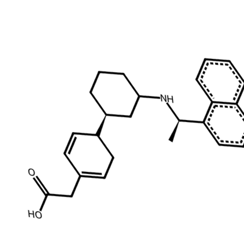 C[C@@H](NC1CCC[C@H](C2C=CC(CC(=O)O)=CC2)C1)c1cccc2ccccc12